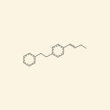 CCC=Cc1ccc(CCc2ccccc2)cc1